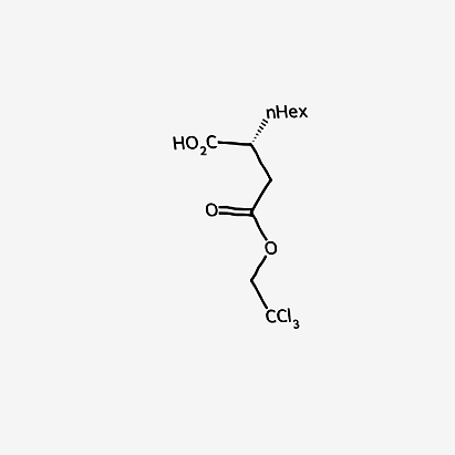 CCCCCC[C@H](CC(=O)OCC(Cl)(Cl)Cl)C(=O)O